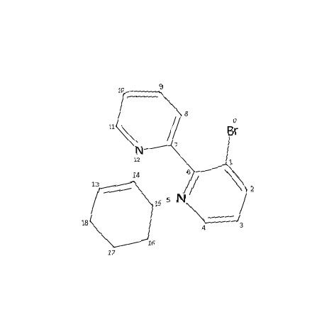 Brc1cccnc1-c1ccccn1.C1=CCCCC1